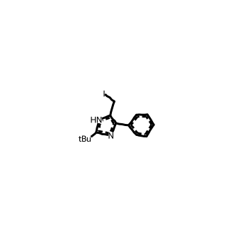 CC(C)(C)c1nc(-c2ccccc2)c(CI)[nH]1